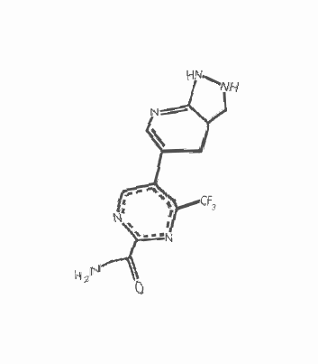 NC(=O)c1ncc(C2=CN=C3NNCC3C2)c(C(F)(F)F)n1